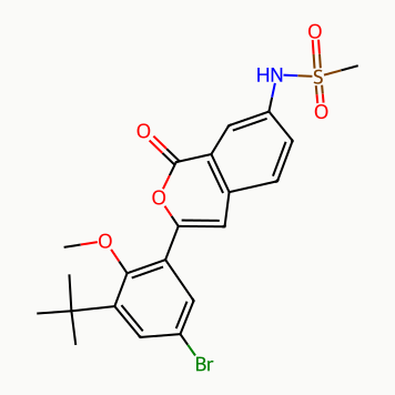 COc1c(-c2cc3ccc(NS(C)(=O)=O)cc3c(=O)o2)cc(Br)cc1C(C)(C)C